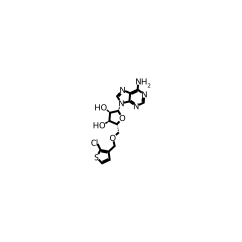 Nc1ncnc2c1ncn2[C@@H]1O[C@H](COCc2ccsc2Cl)[C@@H](O)[C@H]1O